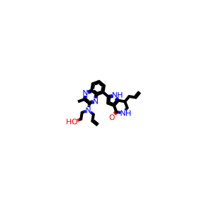 C=CCC1CNC(=O)c2cc(-c3cccc4nc(C)c(N(CC=C)CCO)nc34)[nH]c21